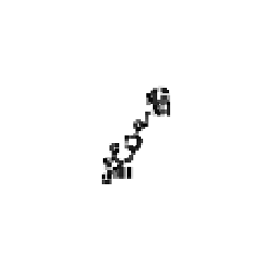 O=C1NC(Cc2ccc(OCCNc3ncccn3)cc2)C(=O)S1